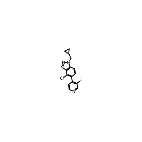 Fc1cnccc1-c1ccc2c(nnn2CC2CC2)c1Cl